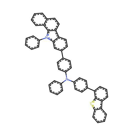 c1ccc(N(c2ccc(-c3ccc4c5ccc6ccccc6c5n(-c5ccccc5)c4c3)cc2)c2ccc(-c3cccc4c3sc3ccccc34)cc2)cc1